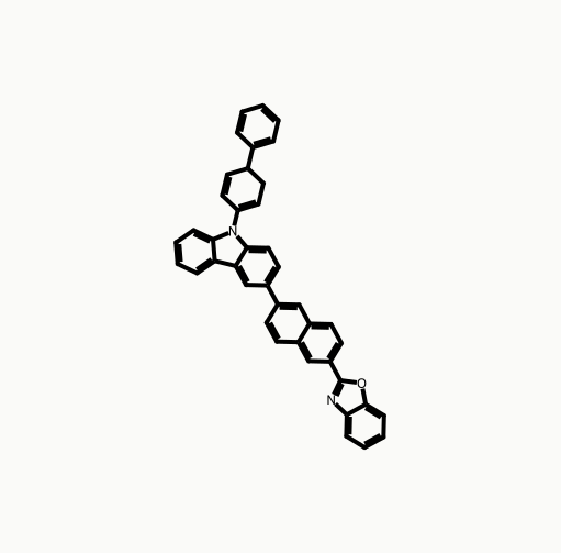 C1=CC(c2ccccc2)CC=C1n1c2ccccc2c2cc(-c3ccc4cc(-c5nc6ccccc6o5)ccc4c3)ccc21